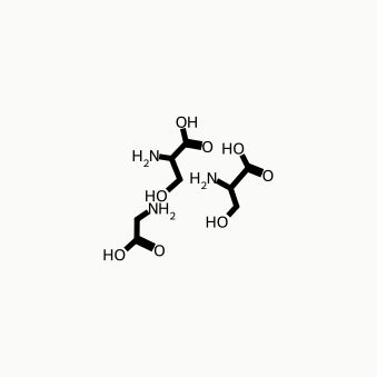 NC(CO)C(=O)O.NC(CO)C(=O)O.NCC(=O)O